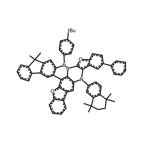 CC(C)(C)c1ccc(N2B3c4oc5ccc(-c6ccccc6)cc5c4N(c4ccc5c(c4)C(C)(C)CCC5(C)C)c4cc5c(oc6ccccc65)c(c43)-c3cc4c(cc32)C(C)(C)c2ccccc2-4)cc1